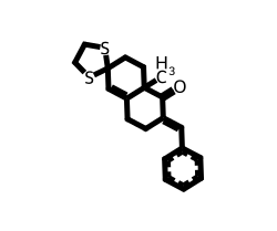 CC12CCC3(C=C1CCC(=Cc1ccccc1)C2=O)SCCS3